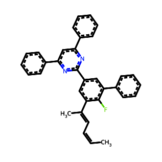 C/C=C\C=C(/C)c1cc(-c2nc(-c3ccccc3)cc(-c3ccccc3)n2)cc(-c2ccccc2)c1F